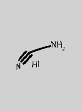 I.N#CN